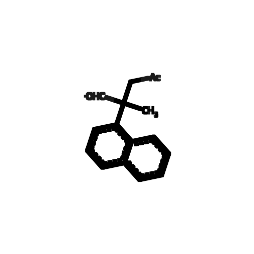 CC(=O)CC(C)([C]=O)c1cccc2ccccc12